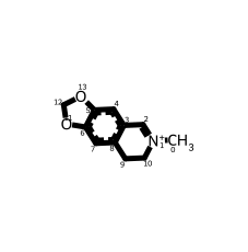 C[N+]1=Cc2cc3c(cc2CC1)OCO3